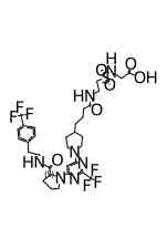 O=C(O)CNS(=O)(=O)CCNC(=O)CCCC1CCN(c2cc(N3CCC[C@H]3C(=O)NCCc3ccc(C(F)(F)F)cc3)nc(C(F)(F)F)n2)CC1